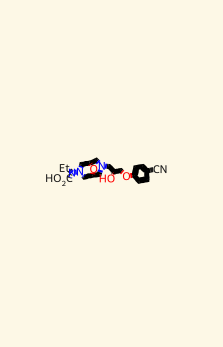 CCN(C(=O)O)N1CC2CN(C[C@H](O)COc3ccc(C#N)cc3)CC(C1)O2